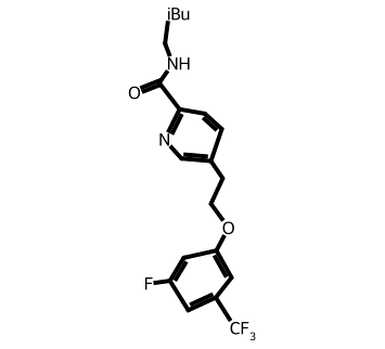 CCC(C)CNC(=O)c1ccc(CCOc2cc(F)cc(C(F)(F)F)c2)cn1